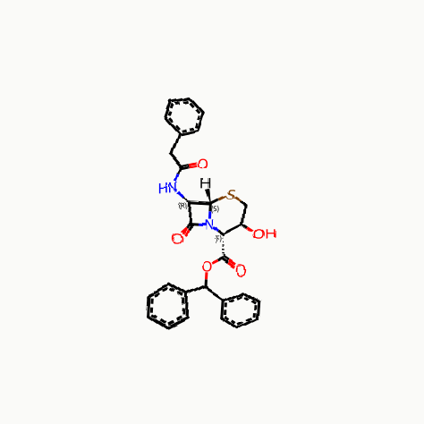 O=C(Cc1ccccc1)N[C@@H]1C(=O)N2[C@@H](C(=O)OC(c3ccccc3)c3ccccc3)C(O)CS[C@@H]12